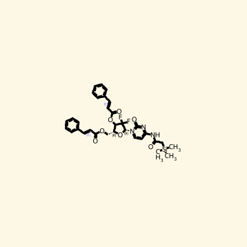 C[Si](C)(C)CC(=O)Nc1ccn([C@@H]2O[C@H](COC(=O)/C=C/c3ccccc3)C(OC(=O)/C=C/c3ccccc3)C2(F)F)c(=O)n1